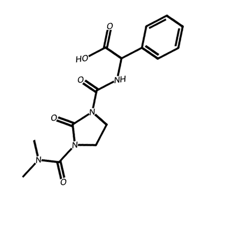 CN(C)C(=O)N1CCN(C(=O)NC(C(=O)O)c2ccccc2)C1=O